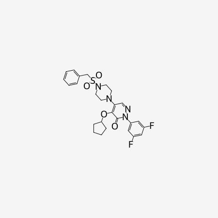 O=c1c(OC2CCCC2)c(N2CCN(S(=O)(=O)Cc3ccccc3)CC2)cnn1-c1cc(F)cc(F)c1